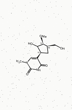 CO[C@@H]1C(O)[C@H](c2cn(C)c(=O)[nH]c2=O)C[C@@H]1CO